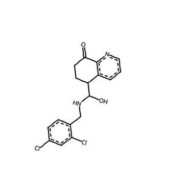 O=C1CCC(C(O)NCc2ccc(Cl)cc2Cl)c2cccnc21